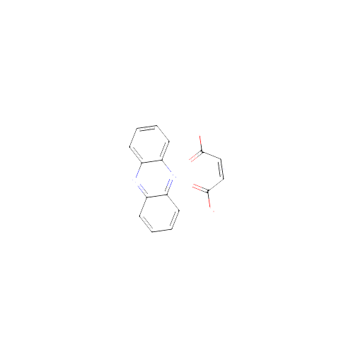 O=C(O)/C=C\C(=O)O.c1ccc2nc3ccccc3nc2c1